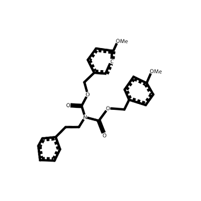 COc1ccc(COC(=O)N(CCc2ccccc2)C(=O)OCc2ccc(OC)cc2)cc1